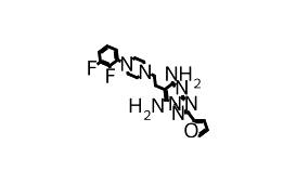 Nc1nc2nc(-c3ccco3)nn2c(N)c1CCN1CCN(c2cccc(F)c2F)CC1